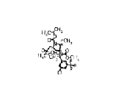 CC[C@@H]1C[C@H](N(Cc2cc(Cl)cc(C(F)(F)F)c2)C(=O)OC)C[C@H](CC(=O)[Si](C)(C)C)N1C(=O)OC(C)C